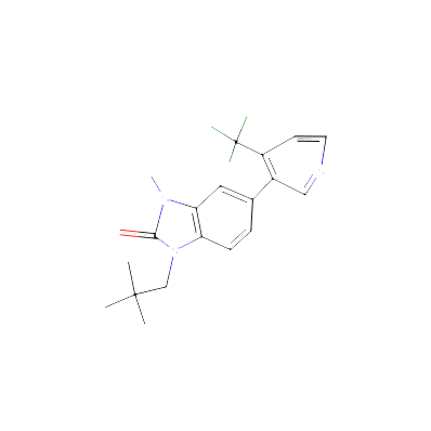 Cn1c(=O)n(CC(C)(C)C)c2ccc(-c3cnccc3C(F)(F)F)cc21